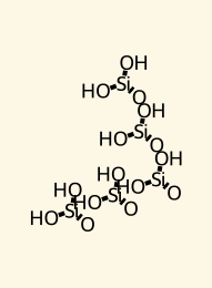 O=[Si](O)O.O=[Si](O)O.O=[Si](O)O.O=[Si](O)O.O=[Si](O)O